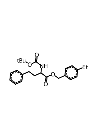 CCc1ccc(COC(=O)C(CCc2ccccc2)NC(=O)OC(C)(C)C)cc1